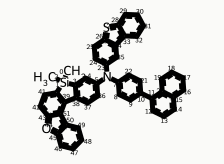 C[Si]1(C)c2cc(N(c3ccc(-c4cccc5ccccc45)cc3)c3ccc4sc5ccccc5c4c3)ccc2-c2c1ccc1oc3ccccc3c21